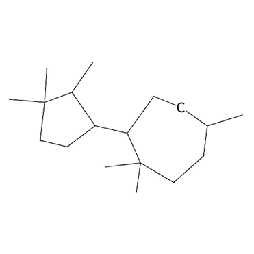 CC1CCC(C2CCC(C)(C)C2C)C(C)(C)CC1